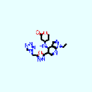 CCn1ncc2c(NC3CCOC(=O)C3)c(-c3nnc(Cn4cnnn4)o3)cnc21